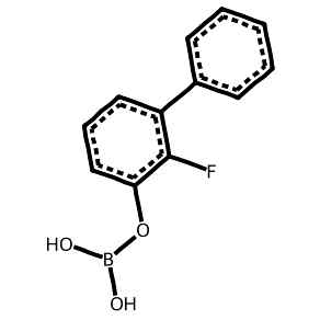 OB(O)Oc1cccc(-c2ccccc2)c1F